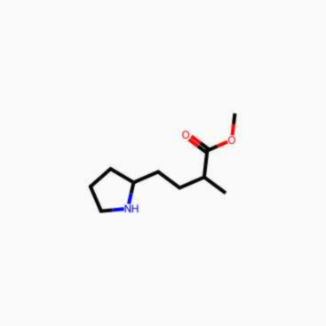 COC(=O)C(C)CCC1CCCN1